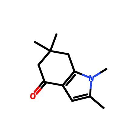 Cc1cc2c(n1C)CC(C)(C)CC2=O